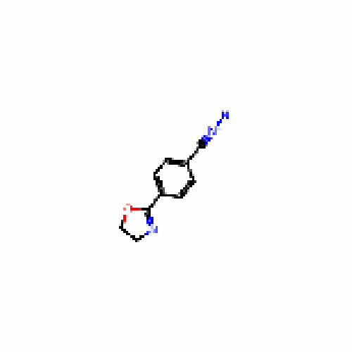 [N][N+]#Cc1ccc(C2=NCCO2)cc1